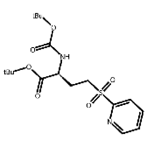 CC(C)(C)OC(=O)N[C@@H](CCS(=O)(=O)c1ccccn1)C(=O)OC(C)(C)C